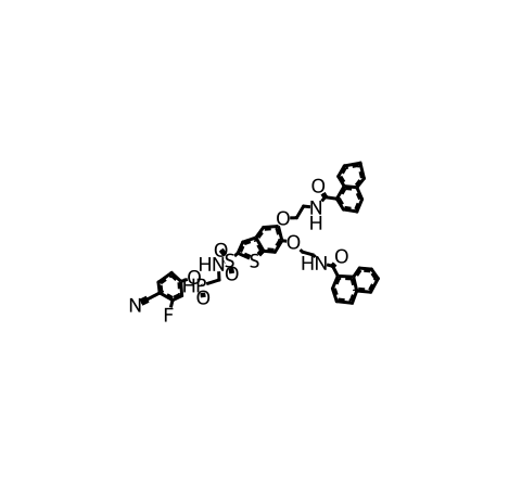 N#Cc1ccc(O[PH](=O)CNS(=O)(=O)c2cc3cc(OCCNC(=O)c4cccc5ccccc45)c(OCCNC(=O)c4cccc5ccccc45)cc3s2)cc1F